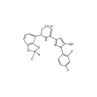 O=C(O)CC(NC(=O)c1cc(O)n(-c2ccc(F)cc2F)n1)c1cccc2c1OC(F)(F)O2